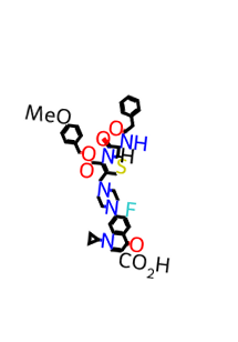 COc1ccc(COC(=O)C2=C(CN3CCN(c4cc5c(cc4F)c(=O)c(C(=O)O)cn5C4CC4)CC3)CS[C@H]3[C@@H](NC(=O)Cc4ccccc4)C(=O)N23)cc1